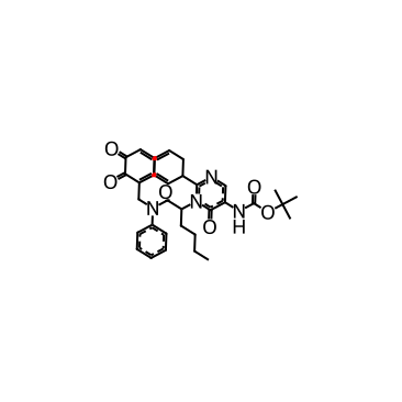 CCCCC(C(=O)N(CC1=CC=CC(=O)C1=O)c1ccccc1)n1c(C2C=CC=CC2)ncc(NC(=O)OC(C)(C)C)c1=O